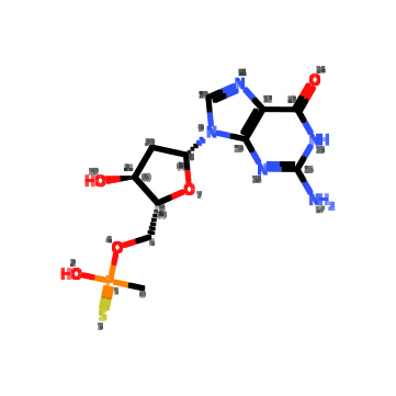 CP(O)(=S)OC[C@H]1O[C@@H](n2cnc3c(=O)[nH]c(N)nc32)C[C@@H]1O